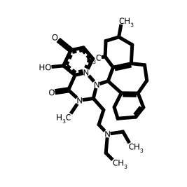 CCN(CC)CCC1N(C)C(=O)c2c(O)c(=O)ccn2N1C1C2=C(C=CCC2)CCC2=C1C(C)CC(C)C2